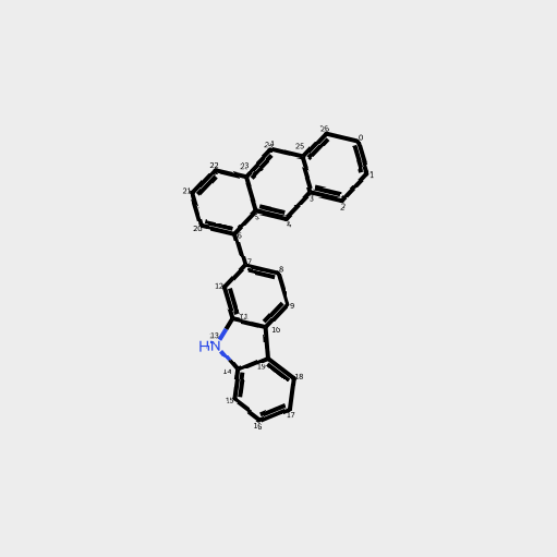 c1ccc2cc3c(-c4ccc5c(c4)[nH]c4ccccc45)cccc3cc2c1